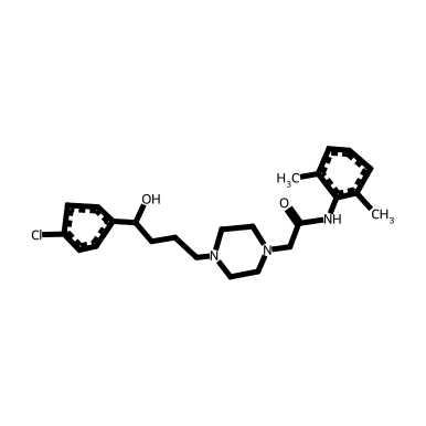 Cc1cccc(C)c1NC(=O)CN1CCN(CCCC(O)c2ccc(Cl)cc2)CC1